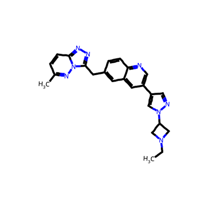 CCN1CC(n2cc(-c3cnc4ccc(Cc5nnc6ccc(C)nn56)cc4c3)cn2)C1